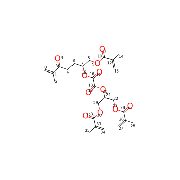 C=C(C)C(=O)CCC(COC(=O)C(=C)C)OC(=O)C(=O)OC(COC(=O)C(=C)C)COC(=O)C(=C)C